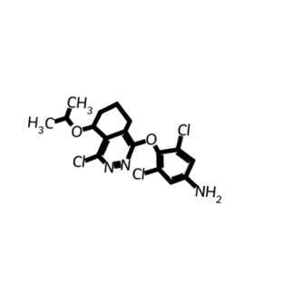 CC(C)OC1CCCc2c(Oc3c(Cl)cc(N)cc3Cl)nnc(Cl)c21